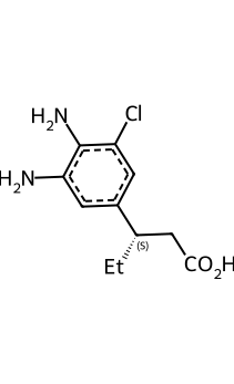 CC[C@@H](CC(=O)O)c1cc(N)c(N)c(Cl)c1